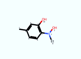 CCN(O)c1ccc(C)cc1O